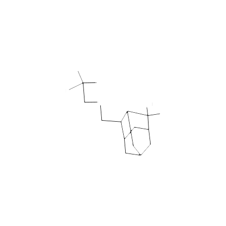 CC(F)(F)COCC1C2CC3CC(C2)C(C)(O)C1C3